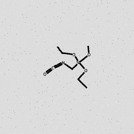 CCO[Si](CN=C=O)(OC)OCC